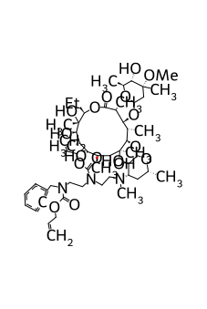 C=CCOC(=O)N(CCN(Cc1ccccc1)C(=O)OCC=C)CCN(C)[C@H]1C[C@@H](C)O[C@@H](O[C@@H]2[C@@H](C)[C@H](OC3C[C@@](C)(OC)[C@@H](O)[C@H](C)O3)[C@@H](C)C(=O)O[C@H](CC)[C@@](C)(O)[C@H](O)[C@@H](C)[C@@H](O)[C@H](C)C[C@]2(C)O)[C@@H]1O